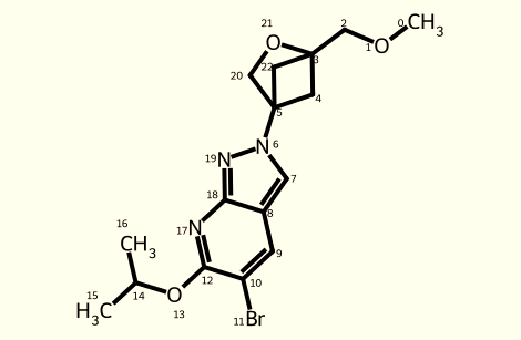 COCC12CC(n3cc4cc(Br)c(OC(C)C)nc4n3)(CO1)C2